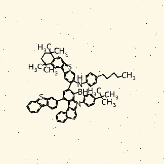 CCCCCc1ccc(Nc2cc3sc4cc5c(cc4c3cc2-c2cc(-c3ccc4c(c3)sc3ccccc34)c3c4c6ccccc6ccc4n4c3c2Bc2cc(C(C)(C)C)ccc2-4)C(C)(C)CCC5(C)C)cc1